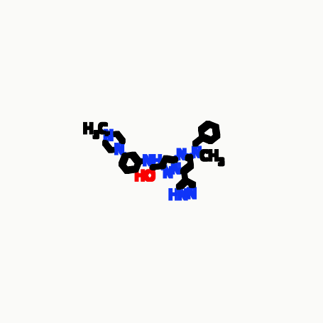 CN1CCN(c2cccc(NC(O)c3cc4nc(N(C)Cc5ccccc5)cc(-c5cn[nH]c5)n4n3)c2)CC1